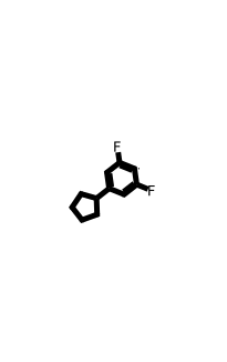 Fc1[c]c(F)cc(C2CCCC2)c1